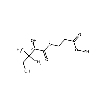 CC(C)(CO)[C@@H](O)C(=O)NCCC(=O)OS